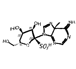 CC12N=CN([C@]3(S(=O)(=O)O)O[C@H](CO)[C@@H](O)[C@H]3O)C1=NC=NC2=N